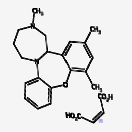 Cc1cc(C)c2c(c1)C1CN(C)CCCN1c1ccccc1O2.O=C(O)/C=C\C(=O)O